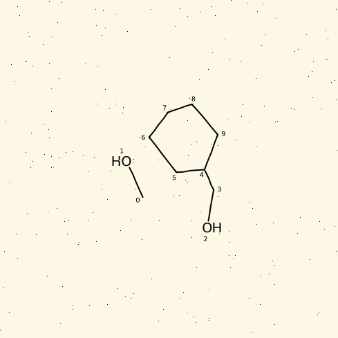 CO.OCC1CCCCC1